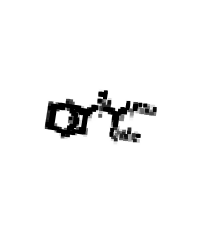 COC(OC)[SiH2]C1CC2C=CC1C2